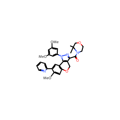 COc1cc(OC)cc(-n2nc(C(=O)N3CCOCC3(C)C)c3c2-c2cc(-c4ccccn4)c(OC)cc2OC3)c1